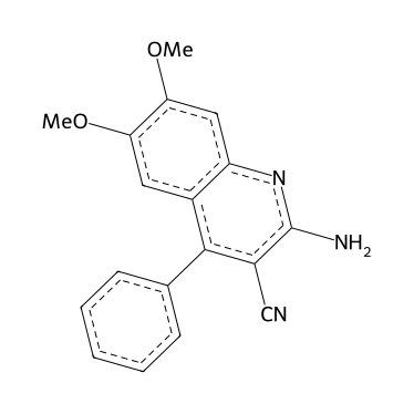 COc1cc2nc(N)c(C#N)c(-c3ccccc3)c2cc1OC